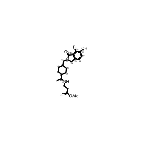 COC(=O)CCNC(C)C1CCC(CN2Cc3ccc(O)c(F)c3C2=O)CC1